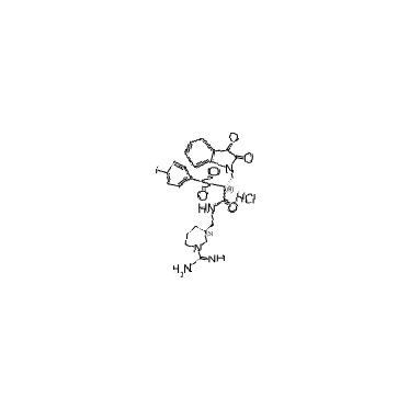 Cl.N=C(N)N1CCC[C@@H](CNC(=O)[C@@H](CN2C(=O)C(=O)c3ccccc32)S(=O)(=O)c2ccc(I)cc2)C1